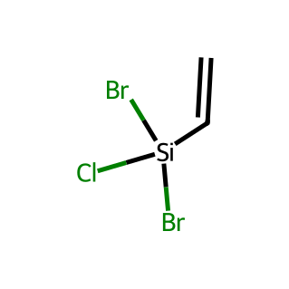 C=C[Si](Cl)(Br)Br